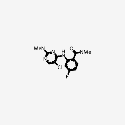 CNC(=O)c1ccc(F)cc1Nc1nc(NC)ncc1Cl